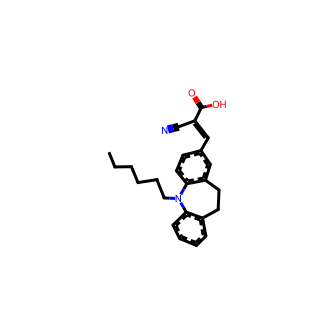 CCCCCCN1c2ccccc2CCc2cc(/C=C(\C#N)C(=O)O)ccc21